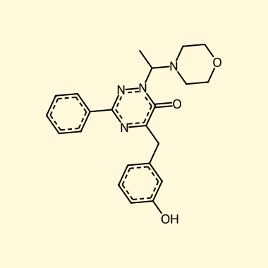 CC(N1CCOCC1)n1nc(-c2ccccc2)nc(Cc2cccc(O)c2)c1=O